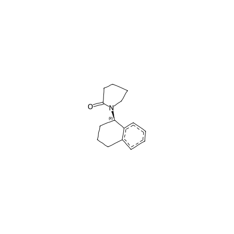 O=C1CCCCN1[C@@H]1CCCc2ccccc21